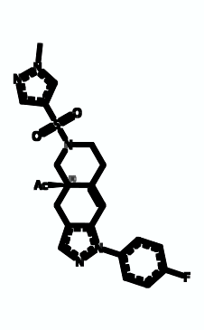 CC(=O)[C@]12Cc3cnn(-c4ccc(F)cc4)c3C=C1CCN(S(=O)(=O)c1cnn(C)c1)C2